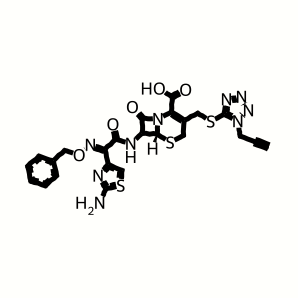 C#CCn1nnnc1SCC1=C(C(=O)O)N2C(=O)C(NC(=O)/C(=N/OCc3ccccc3)c3csc(N)n3)[C@H]2SC1